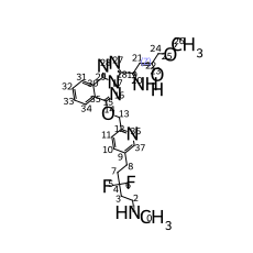 CNCCC(F)(F)CCc1ccc(COc2nn3c(C(=N)/C=C(\O)COC)nnc3c3ccccc23)nc1